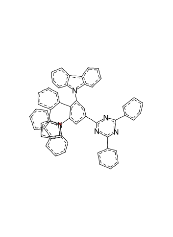 c1ccc(-c2nc(-c3ccccc3)nc(-c3cc(-n4c5ccccc5c5ccccc54)c(-c4ccccc4-c4ccccc4)c(-n4c5ccccc5c5ccccc54)c3)n2)cc1